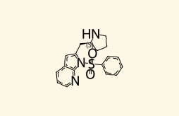 O=S(=O)(c1ccccc1)n1c(C[C@@H]2CCCN2)cc2cccnc21